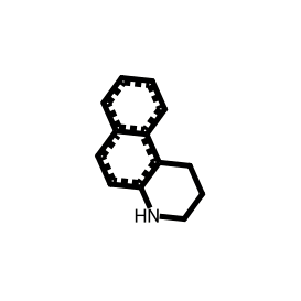 c1ccc2c3c(ccc2c1)NCCC3